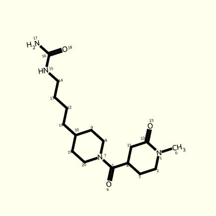 CN1CCC(C(=O)N2CCC(CCCCNC(N)=O)CC2)CC1=O